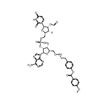 COc1ccc(C(=O)Oc2ccc(CSPOC[C@H]3O[C@@H](n4cnc5c(N)ncnc54)[C@H](OP(=O)(O)OC[C@H]4O[C@@H](n5ccc(=O)[nH]c5=O)[C@H](OC=O)[C@@H]4F)[C@@H]3F)cc2)cc1